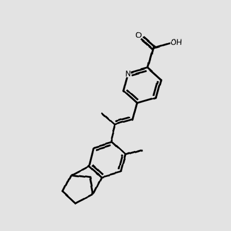 CC(=Cc1ccc(C(=O)O)nc1)c1cc2c(cc1C)C1CCC2C1